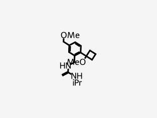 C=C(NCc1cc(COC)ccc1C1(OC)CCC1)NC(C)C